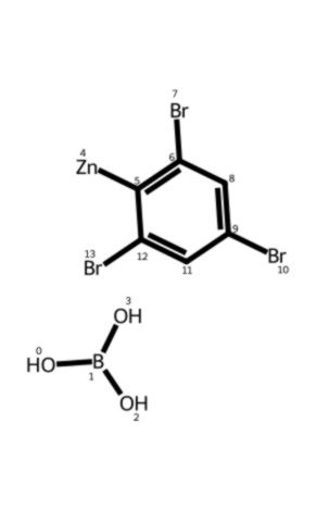 OB(O)O.[Zn][c]1c(Br)cc(Br)cc1Br